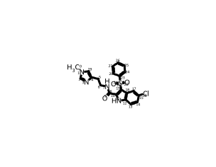 Cn1cnc(CCNC(=O)c2[nH]c3ccc(Cl)cc3c2S(=O)(=O)c2ccccc2)c1